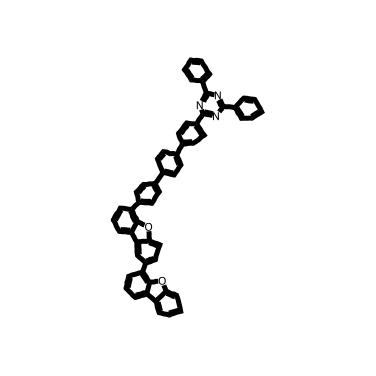 c1ccc(-c2nc(-c3ccccc3)nc(-c3ccc(-c4ccc(-c5ccc(-c6cccc7c6oc6ccc(-c8cccc9c8oc8ccccc89)cc67)cc5)cc4)cc3)n2)cc1